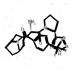 N[C@H](C(=O)N1CCC[C@H]1c1nn[nH]n1)C1CC2CCC(C1)N2C(=O)c1ccc(C(F)(F)F)cc1